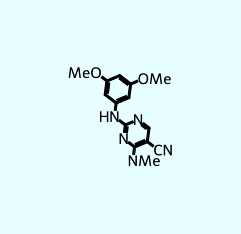 CNc1nc(Nc2cc(OC)cc(OC)c2)ncc1C#N